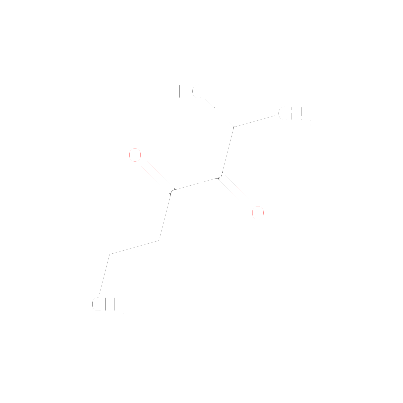 CCCC(=O)C(=O)C(C)C